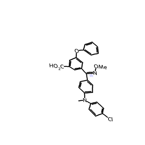 CO/N=C(/c1ccc(N(C)c2ccc(Cl)cc2)cc1)c1cc(Oc2ccccc2)cc(C(=O)O)c1